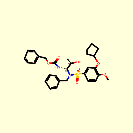 COc1ccc(S(=O)(=O)N(Cc2ccccc2)[C@H](NC(=O)OCc2ccccc2)[C@@H](C)O)cc1OC1CCCC1